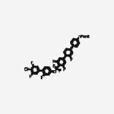 CCCCCc1ccc(-c2ccc(-c3cc(F)c(C(F)(F)Oc4ccc(-c5cc(F)c(Cl)c(F)c5)c(F)c4)c(F)c3)c(F)c2)cc1